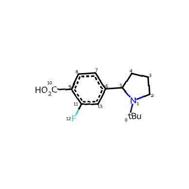 CC(C)(C)N1CCCC1c1ccc(C(=O)O)c(F)c1